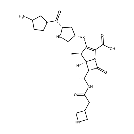 C[C@@H](NC(=O)CC1CNC1)[C@H]1C(=O)N2C(C(=O)O)=C(S[C@@H]3CN[C@H](C(=O)N4CCC(N)C4)C3)[C@H](C)[C@H]12